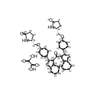 O=C(O)C(=O)O.O=C1CC[C@H](COc2ccc(-c3sc4ccccc4c3C(=O)c3c(-c4ccc(OC[C@H]5CCC(=O)N5)cc4)sc4ccccc34)cc2)N1